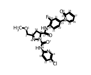 COCC1=NN(C(=O)Nc2ccc(Cl)cn2)C(C(=O)Nc2ccc(-n3ccccc3=O)cc2F)C1